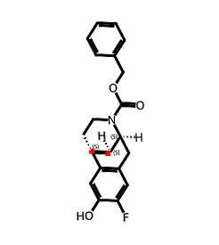 O=C(OCc1ccccc1)N1CC[C@@]23CCCC[C@@H]2[C@@H]1Cc1cc(F)c(O)cc13